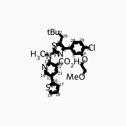 COCCOc1cc(-c2nc(N(C)c3ncc(-c4cccs4)cc3C(=O)O)sc2CC(C)(C)C)ccc1Cl